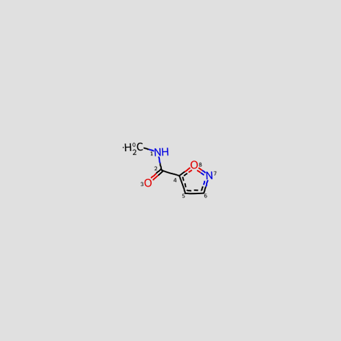 [CH2]NC(=O)c1ccno1